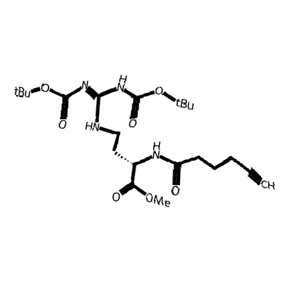 C#CCCCC(=O)N[C@@H](CCN/C(=N\C(=O)OC(C)(C)C)NC(=O)OC(C)(C)C)C(=O)OC